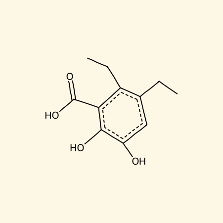 CCc1cc(O)c(O)c(C(=O)O)c1CC